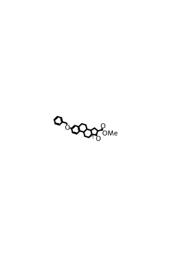 COC(=O)C1CC2C3CCc4cc(OCc5ccccc5)ccc4C3CC[C@]2(C)C1=O